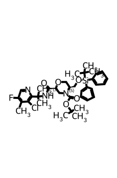 Cc1c(F)cnc(C(C)(C)NC(=O)[C@@H]2CN(C(=O)OC(C)(C)C)[C@H](CO[Si](c3ccccc3)(c3ccccc3)C(C)(C)C)CO2)c1Cl